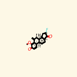 C=C1C2=C(OC)C(=O)C=C[C@]2(C)[C@H]2CC[C@]3(C)C(=O)[C@H](F)C[C@H]3[C@@H]2[C@@H]1C